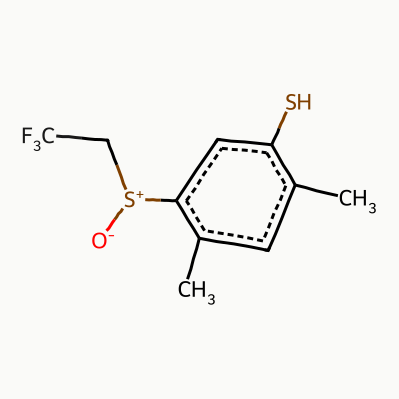 Cc1cc(C)c([S+]([O-])CC(F)(F)F)cc1S